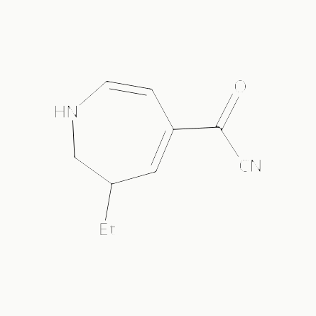 CCC1C=C(C(=O)C#N)C=CNC1